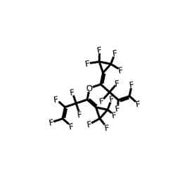 FC(F)=C(F)C(F)(F)C(OC(=C1C(F)(F)C1(F)F)C(F)(F)C(F)=C(F)F)=C1C(F)(F)C1(F)F